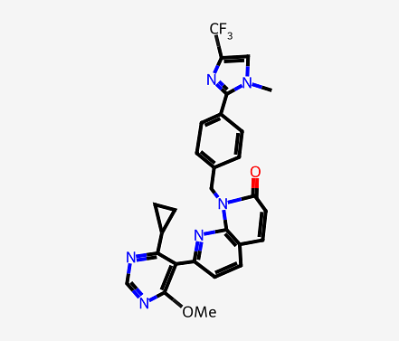 COc1ncnc(C2CC2)c1-c1ccc2ccc(=O)n(Cc3ccc(-c4nc(C(F)(F)F)cn4C)cc3)c2n1